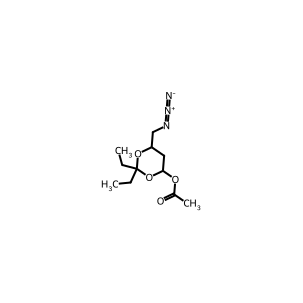 CCC1(CC)OC(CN=[N+]=[N-])CC(OC(C)=O)O1